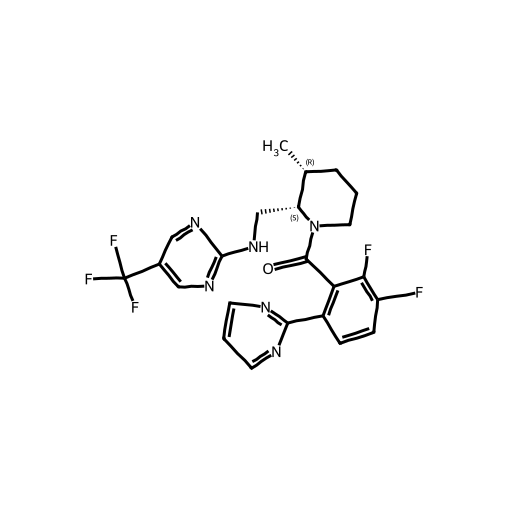 C[C@@H]1CCCN(C(=O)c2c(-c3ncccn3)ccc(F)c2F)[C@@H]1CNc1ncc(C(F)(F)F)cn1